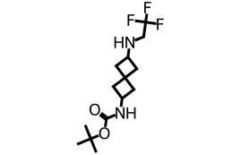 CC(C)(C)OC(=O)NC1CC2(CC(NCC(F)(F)F)C2)C1